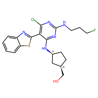 OC[C@@H]1CC[C@H](Nc2nc(NCCCF)nc(Cl)c2-c2nc3ccccc3s2)C1